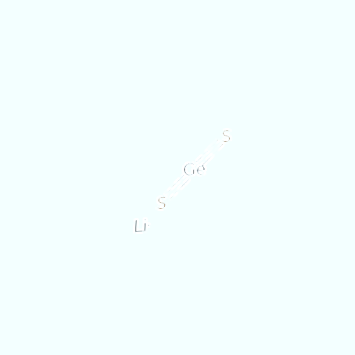 [Li].[S]=[Ge]=[S]